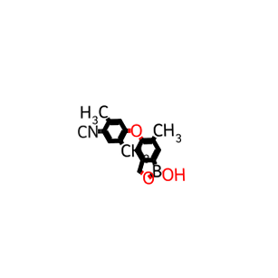 [C-]#[N+]c1cc(C)c(Oc2cc3c(cc2C)B(O)OC3)cc1C